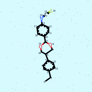 CCc1ccc(C2COC(c3ccc(N=C=S)cc3)OC2)cc1